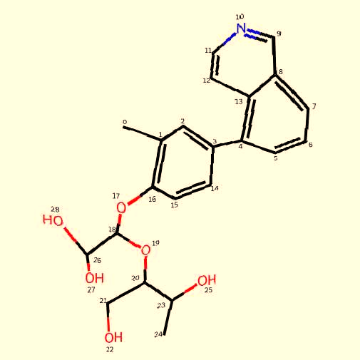 Cc1cc(-c2cccc3cnccc23)ccc1OC(OC(CO)C(C)O)C(O)O